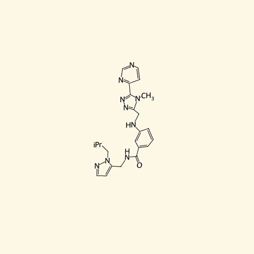 CC(C)Cn1nccc1CNC(=O)c1cccc(NCc2nnc(-c3ccncn3)n2C)c1